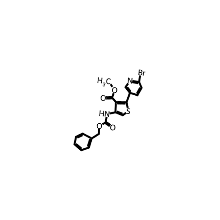 COC(=O)c1c(NC(=O)OCc2ccccc2)csc1-c1ccc(Br)nc1